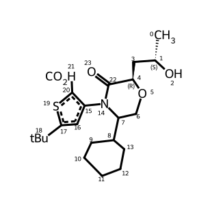 C[C@H](O)C[C@H]1OCC(C2CCCCC2)N(c2cc(C(C)(C)C)sc2C(=O)O)C1=O